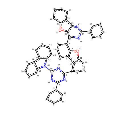 c1ccc(-c2nc(-c3cccc4oc5c(-c6nc(-c7ccccc7)nc7c6oc6ccccc67)cccc5c34)nc(-n3c4ccccc4c4ccccc43)n2)cc1